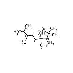 CC(C)C(C)CCC(C)(C)C(N)C(C)(C)C